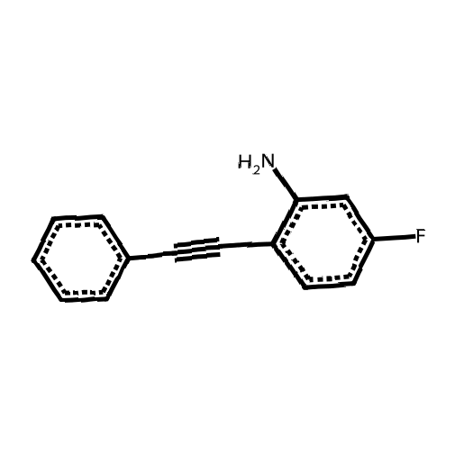 Nc1cc(F)ccc1C#Cc1ccccc1